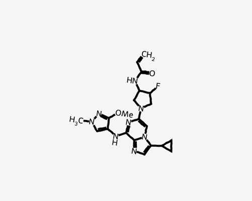 C=CC(=O)NC1CN(c2cn3c(C4CC4)cnc3c(Nc3cn(C)nc3OC)n2)CC1F